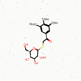 COc1cc(C(=O)CS[C@@H]2O[C@H](CO)[C@@H](O)[C@H](O)[C@H]2O)cc(OC)c1OC